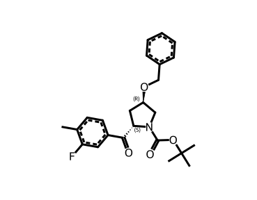 Cc1ccc(C(=O)[C@@H]2C[C@@H](OCc3ccccc3)CN2C(=O)OC(C)(C)C)cc1F